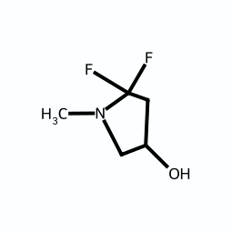 CN1CC(O)CC1(F)F